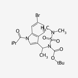 CC(C)C(=O)n1cc(C(C)N(C(=O)OC(C)(C)C)S(=O)(=O)N(C)C)c2ccc(Br)cc21